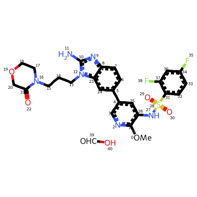 COc1ncc(-c2ccc3nc(N)n(CCCN4CCOCC4=O)c3c2)cc1NS(=O)(=O)c1ccc(F)cc1F.O=CO